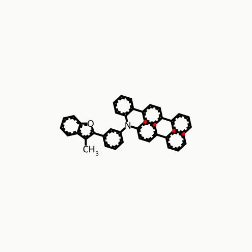 Cc1c(-c2cccc(N(c3ccc(-c4ccccc4)cc3)c3ccccc3-c3ccc(-c4ccccc4)cc3)c2)oc2ccccc12